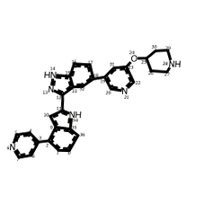 c1cc(-c2ccncc2)c2cc(-c3n[nH]c4ccc(-c5cncc(OC6CCNCC6)c5)cc34)[nH]c2c1